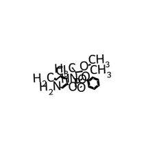 C=C/C(Cl)=C\C(=C/N)OP(=O)(N[C@@H](C)C(=O)OC(C)C)Oc1ccccc1